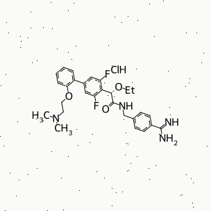 CCO[C@H](C(=O)NCc1ccc(C(=N)N)cc1)c1c(F)cc(-c2ccccc2OCCN(C)C)cc1F.Cl